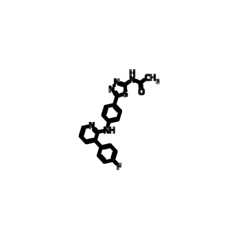 CC(=O)Nc1nnc(-c2ccc(Nc3ncccc3-c3ccc(F)cc3)cc2)s1